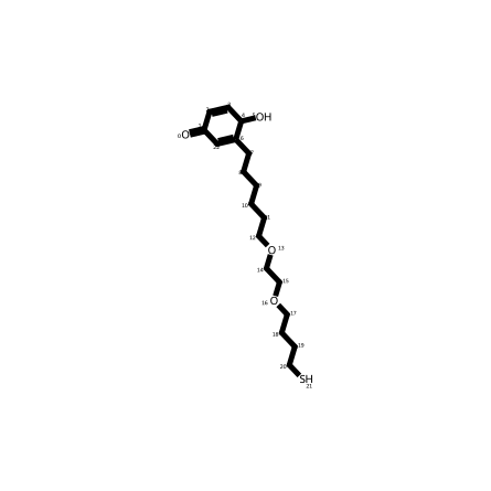 O=C1C=CC(O)C(CCCCCCOCCOCCCCS)=C1